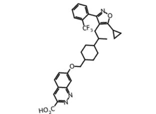 CC(Cc1c(-c2ccccc2C(F)(F)F)noc1C1CC1)C1CCC(COc2ccc3cc(C(=O)O)nnc3c2)CC1